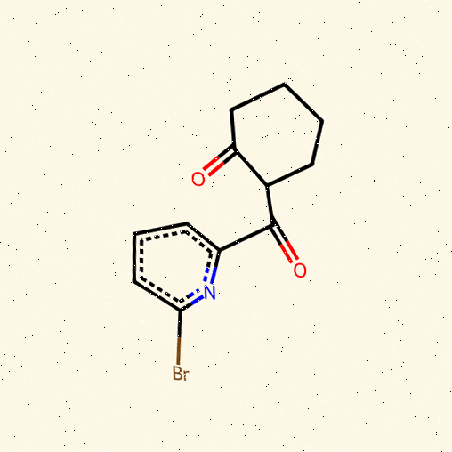 O=C1CCCCC1C(=O)c1cccc(Br)n1